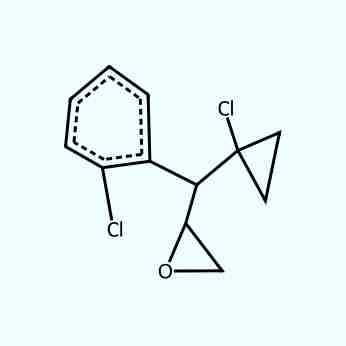 Clc1ccccc1C(C1CO1)C1(Cl)CC1